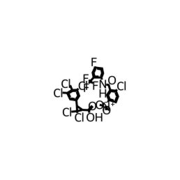 O=C(Nc1ccc(F)cc1C(F)(F)F)c1cc([N+](=O)[O-])ccc1Cl.O=C(O)C1C(c2cc(Cl)c(Cl)c(Cl)c2)C1(Cl)Cl